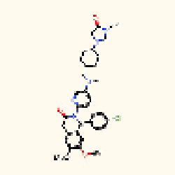 COc1cc2c(cc1OC(C)C)[C@H](c1ccc(Cl)cc1)N(c1ccc(N(C)C[C@H]3CC[C@H](N4CC(=O)N(C(C)C)C4)CC3)cn1)C(=O)C2